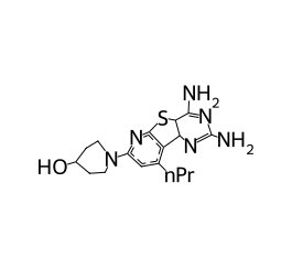 CCCc1cc(N2CCC(O)CC2)nc2c1C1N=C(N)N=C(N)C1S2